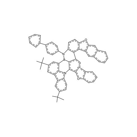 CC(C)(C)c1ccc2c(c1)c1cc(C(C)(C)C)cc3c1n2-c1c2c(cc4c1oc1ccccc14)-c1c(ccc4oc5cc6ccccc6cc5c14)N(c1ccc(-c4ccccc4)cc1)B23